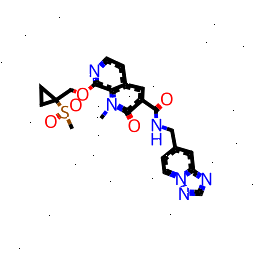 Cn1c(=O)c(C(=O)NCc2ccn3ncnc3c2)cc2ccnc(OCC3(S(C)(=O)=O)CC3)c21